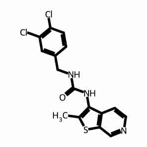 Cc1sc2cnccc2c1NC(=O)NCc1ccc(Cl)c(Cl)c1